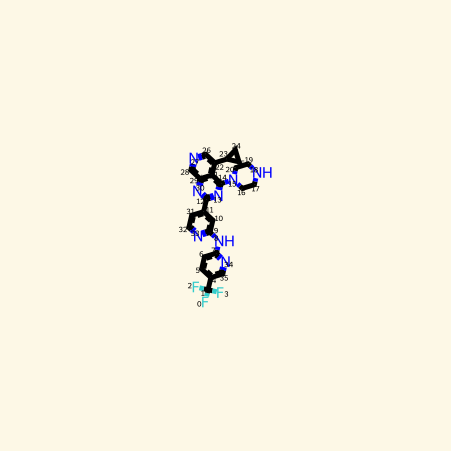 FC(F)(F)c1ccc(Nc2cc(-c3nc(N4CCNCC4)c4c(C5CC5)cncc4n3)ccn2)nc1